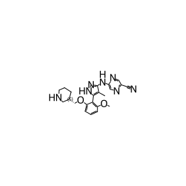 COc1cccc(OC[C@H]2CCCNC2)c1-c1[nH]nc(Nc2cnc(C#N)cn2)c1C